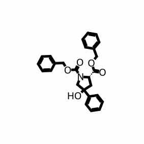 O=C(OCc1ccccc1)[C@@H]1CC(O)(c2ccccc2)CN1C(=O)OCc1ccccc1